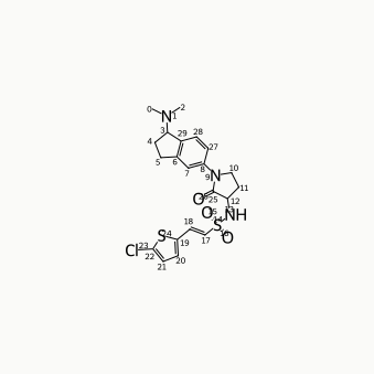 CN(C)C1CCc2cc(N3CCC(NS(=O)(=O)C=Cc4ccc(Cl)s4)C3=O)ccc21